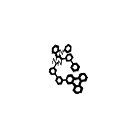 c1ccc(-c2cccc(-c3nc(-c4cccc(-c5cccc(-c6ccc7c8ccccc8c8ccccc8c7c6)c5)c4)nc4c5ccccc5n(-c5ccccc5)c34)c2)cc1